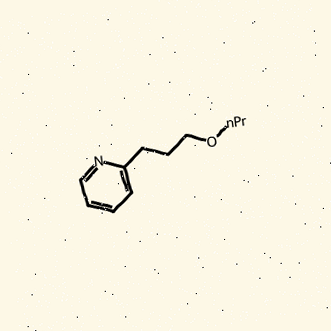 CCCOCCCc1ccccn1